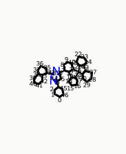 c1ccc(-c2cc(-c3cccc4c3-c3ccccc3C43c4ccccc4-c4ccccc43)nc(-c3cccc4ccccc34)n2)cc1